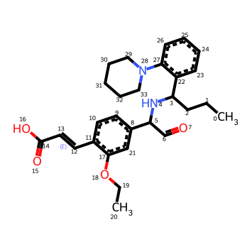 CCCC(NC(C=O)c1ccc(/C=C/C(=O)O)c(OCC)c1)c1ccccc1N1CCCCC1